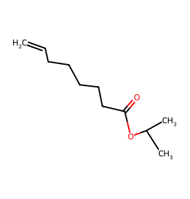 C=CCCCCCC(=O)OC(C)C